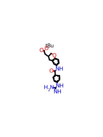 CC(C)(C)OC(=O)CC1COc2ccc(NC(=O)c3ccc(NC(=N)N)cc3)cc2C1